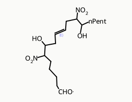 CCCCCC(O)C(C/C=C/CC(O)C(CCCC[C]=O)[N+](=O)[O-])[N+](=O)[O-]